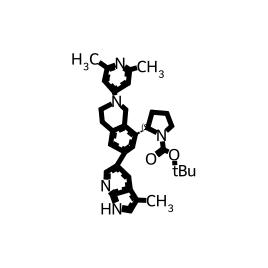 Cc1cc(N2CCc3cc(-c4cnc5[nH]cc(C)c5c4)cc([C@@H]4CCCN4C(=O)OC(C)(C)C)c3C2)cc(C)n1